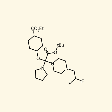 CCOC(=O)[C@H]1CC[C@H](OC(C(=O)OC(C)(C)C)(N2CCCC2)N2CCN(CC(F)F)CC2)CC1